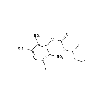 Cc1cc([N+](=O)[O-])c([N+](=O)[O-])c(OC(=O)OC(F)CF)c1[N+](=O)[O-]